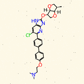 C[C@@H]1CO[C@H]2[C@@H]1OC[C@H]2Oc1nc2nc(-c3ccc(-c4ccc(OCCN(C)C)cc4)cc3)c(Cl)cc2[nH]1